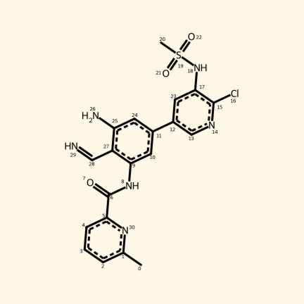 Cc1cccc(C(=O)Nc2cc(-c3cnc(Cl)c(NS(C)(=O)=O)c3)cc(N)c2C=N)n1